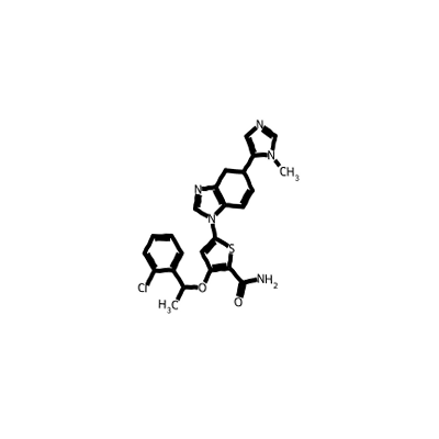 CC(Oc1cc(-n2cnc3c2C=CC(c2cncn2C)C3)sc1C(N)=O)c1ccccc1Cl